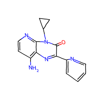 Nc1ccnc2c1nc(-c1ccccn1)c(=O)n2C1CC1